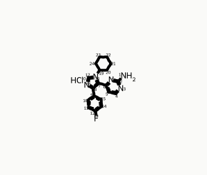 Cl.Nc1nccc(-c2c(-c3ccc(F)cc3)ncn2C2CCCCC2)n1